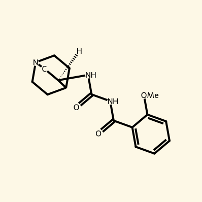 COc1ccccc1C(=O)NC(=O)N[C@@H]1CN2CCC1CC2